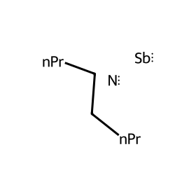 CCCCCCCC.[N].[Sb]